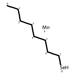 CCCCCCCC[SeH].[Mn]